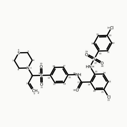 C=CC(N1CCSCC1)S(=O)(=O)c1ccc(NC(=O)c2cc(Cl)ccc2NS(=O)(=O)c2ccc(Cl)cc2)cc1